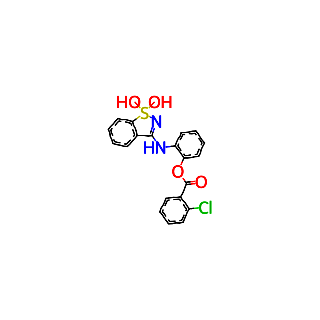 O=C(Oc1ccccc1NC1=NS(O)(O)c2ccccc21)c1ccccc1Cl